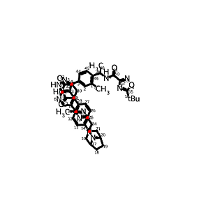 Cc1cc(-c2n[nH]c3ncc(-c4ccc(N5CC6CCC(C5)N6CCc5ccc(C6CCC(=O)NC6=O)c(C)n5)cn4)cc23)ccc1[C@@H](C)NC(=O)c1noc(C(C)(C)C)n1